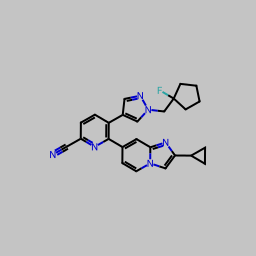 N#Cc1ccc(-c2cnn(CC3(F)CCCC3)c2)c(-c2ccn3cc(C4CC4)nc3c2)n1